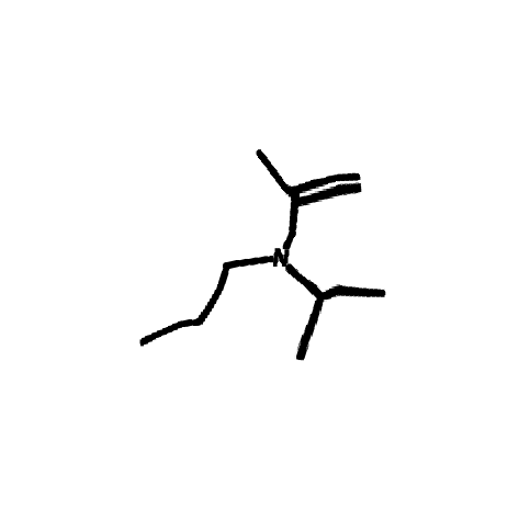 C=C(C)N(CCC)C(C)C